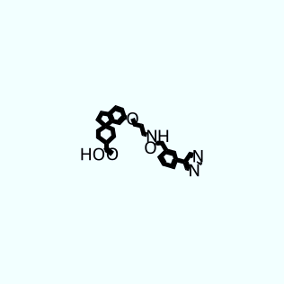 O=C(Cc1cccc(-c2cncnc2)c1)NCCCOc1ccc2c(c1)C1(CC2)CCC(C(=O)O)CC1